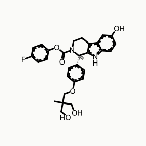 CC(CO)(CO)COc1ccc([C@H]2c3[nH]c4ccc(O)cc4c3CCN2C(=O)Oc2ccc(F)cc2)cc1